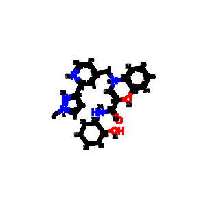 Cn1ccc(-c2cc(CN3C=C(C(=O)N[C@H]4CCCC[C@@H]4O)Oc4ccccc43)ccn2)n1